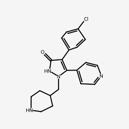 O=c1[nH]n(CC2CCNCC2)c(-c2ccncc2)c1-c1ccc(Cl)cc1